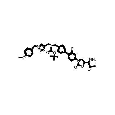 COc1ccc(Cn2cc(CN(Cc3ccc(-c4ccc(N5CC(C(N)C(C)=O)OC5=O)cc4F)cc3)C(=O)OC(C)(C)C)nn2)cc1